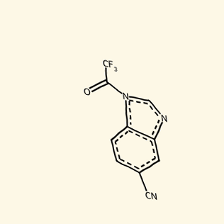 N#Cc1ccc2c(c1)ncn2C(=O)C(F)(F)F